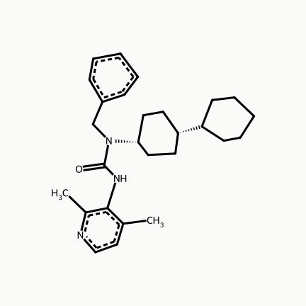 Cc1ccnc(C)c1NC(=O)N(Cc1ccccc1)[C@H]1CC[C@@H](C2CCCCC2)CC1